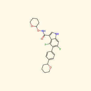 O=C(NOC1CCCCO1)c1c[nH]c2cc(F)c(-c3ccc(C4CCCCO4)cc3)c(F)c12